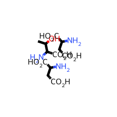 CC(O)C(N)C(=O)O.NC(CC(=O)O)C(=O)O.NC(CC(=O)O)C(=O)O